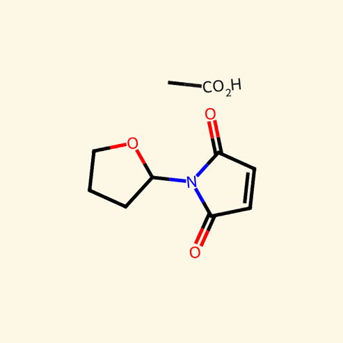 CC(=O)O.O=C1C=CC(=O)N1C1CCCO1